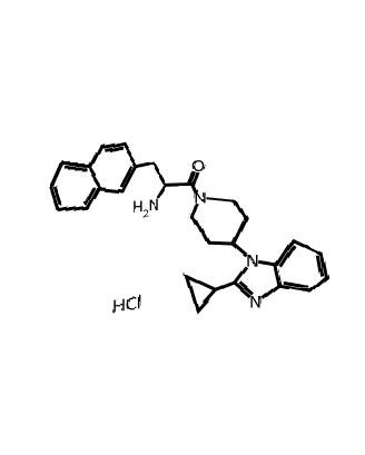 Cl.NC(Cc1ccc2ccccc2c1)C(=O)N1CCC(n2c(C3CC3)nc3ccccc32)CC1